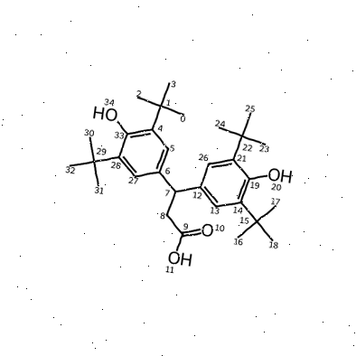 CC(C)(C)c1cc(C(CC(=O)O)c2cc(C(C)(C)C)c(O)c(C(C)(C)C)c2)cc(C(C)(C)C)c1O